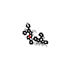 CC1(C)c2cc(N(c3ccc4c(c3)C(C)(C)c3c5c(c6oc7ccccc7c6c3-4)-c3ccccc3C5(C)C)c3ccccc3-c3ccccc3)ccc2-c2c1cc(-c1ccncc1)c1oc3ccccc3c21